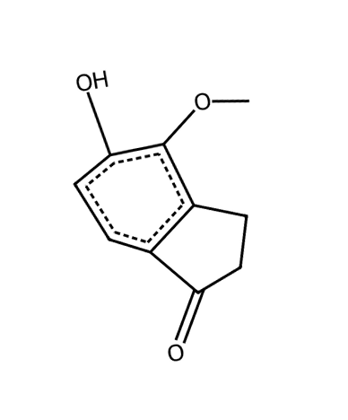 COc1c(O)ccc2c1CCC2=O